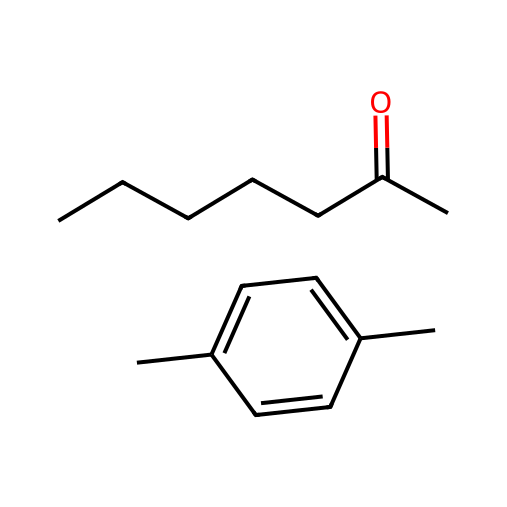 CCCCCC(C)=O.Cc1ccc(C)cc1